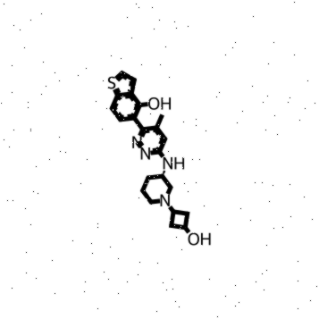 Cc1cc(N[C@H]2CCCN(C3CC(O)C3)C2)nnc1-c1ccc2sccc2c1O